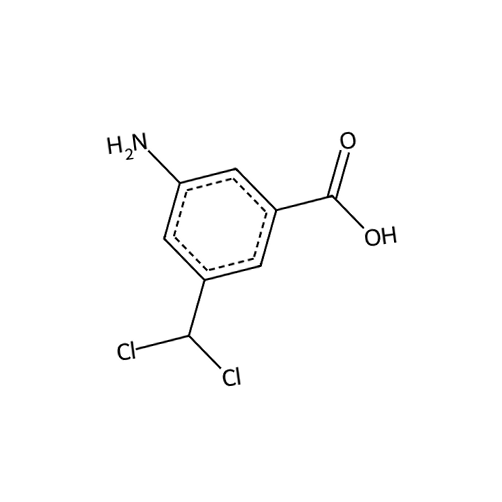 Nc1cc(C(=O)O)cc(C(Cl)Cl)c1